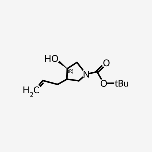 C=CCC1CN(C(=O)OC(C)(C)C)C[C@@H]1O